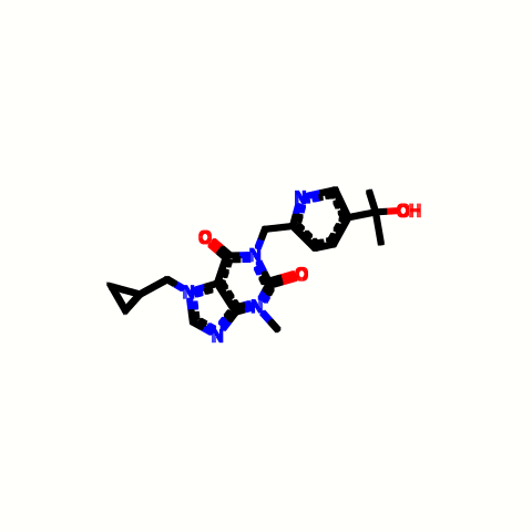 Cn1c(=O)n(Cc2ccc(C(C)(C)O)cn2)c(=O)c2c1ncn2CC1CC1